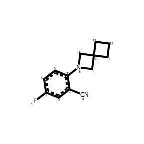 N#Cc1cc(F)ccc1N1CC2(CCC2)C1